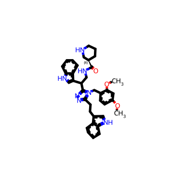 COc1ccc(Cn2c(CCc3c[nH]c4ccccc34)nnc2C(CNC(=O)[C@@H]2CCCNC2)c2c[nH]c3ccccc23)c(OC)c1